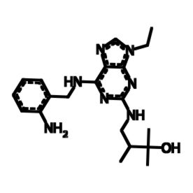 CCn1cnc2c(NCc3ccccc3N)nc(NCC(C)C(C)(C)O)nc21